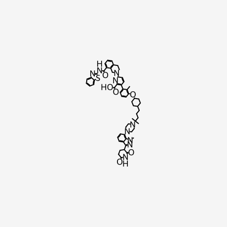 Cc1c(OC2CCC(CCCC(C)(C)N3CCN(c4cccc5c(C6CCC(=O)NC6=O)nn(C)c45)CC3)CC2)cccc1-c1ccc(N2CCc3cccc(C(=O)Nc4nc5ccccc5s4)c3C2)nc1C(=O)O